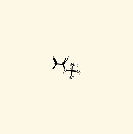 C=C(C)C(=O)OC(N)(O)CC